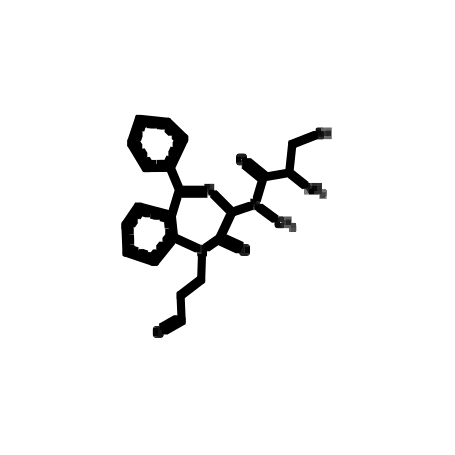 CN(C(=O)C(N)CS)C1N=C(c2ccccc2)c2ccccc2N(CCC=O)C1=O